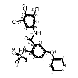 C/C=C\C(=C/C)Oc1ccc(NS(=O)(=O)I)c(C(=O)Nc2cc(Cl)c(Cl)c(Cl)c2)c1